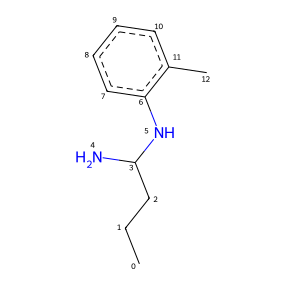 CCCC(N)Nc1ccccc1C